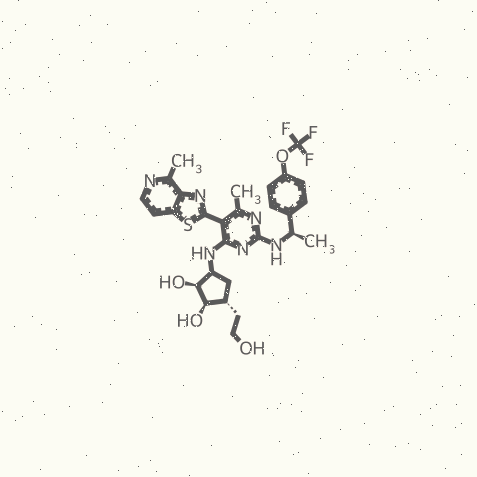 Cc1nc(N[C@H](C)c2ccc(OC(F)(F)F)cc2)nc(NC2C[C@H](CCO)[C@@H](O)[C@H]2O)c1-c1nc2c(C)nccc2s1